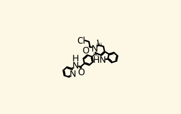 C[C@H]1Cc2c([nH]c3ccccc23)[C@@H](c2ccc(C(=O)Nc3ccccn3)cc2)N1C(=O)CCl